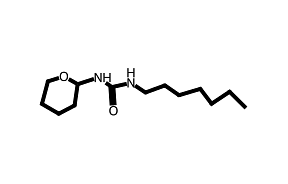 CCCCCCCNC(=O)NC1CCCCO1